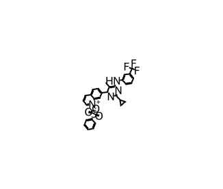 Cc1c(Nc2cccc(C(F)(F)F)c2)nc(C2CC2)nc1-c1ccc2ccc[n+](OS(=O)(=O)c3ccccc3)c2c1